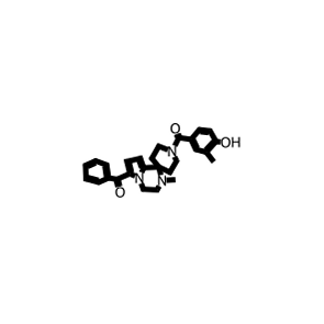 Cc1cc(C(=O)N2CCC3(CC2)c2ccc(C(=O)c4ccccc4)n2CCN3C)ccc1O